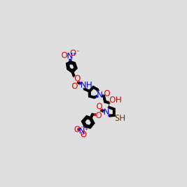 O=C(NCC1CCN(C(=O)CC(O)[C@@H]2C[C@H](S)CN2C(=O)OCc2ccc([N+](=O)[O-])cc2)CC1)OCc1ccc([N+](=O)[O-])cc1